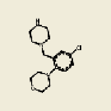 Clc1ccc(N2CCOCC2)c(CN2CCNCC2)c1